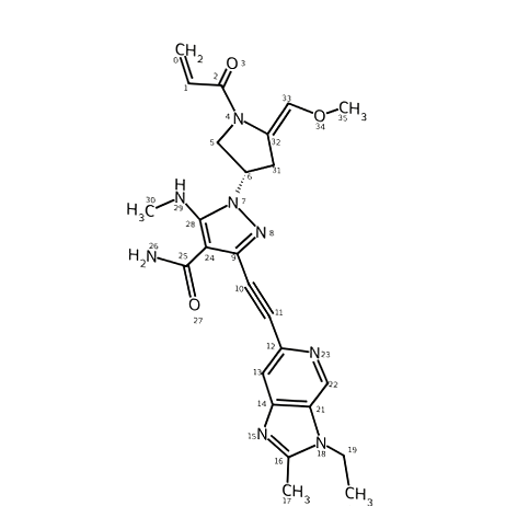 C=CC(=O)N1C[C@@H](n2nc(C#Cc3cc4nc(C)n(CC)c4cn3)c(C(N)=O)c2NC)C/C1=C\OC